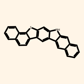 c1ccc2cc3c(cc2c1)[nH]c1cc2sc4c5ccccc5ccc4c2cc13